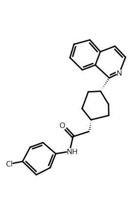 O=C(C[C@H]1CC[C@@H](c2nccc3ccccc32)CC1)Nc1ccc(Cl)cc1